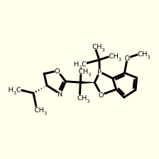 COc1cccc2c1P(C(C)(C)C)[C@H](C(C)(C)C1=N[C@H](C(C)C)CO1)O2